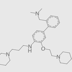 CN(C)Cc1ccccc1-c1ccc(NCCCN2CCCCC2)c(OCCN2CCCCC2)c1